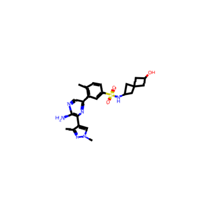 Cc1ccc(S(=O)(=O)NC2CC3(CC(O)C3)C2)cc1-c1cnc(N)c(-c2cn(C)nc2C)n1